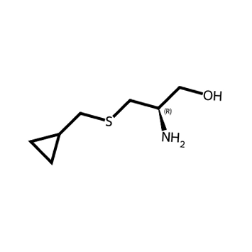 N[C@H](CO)CSCC1CC1